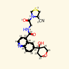 N#CC1CSCN1C(=O)CNC(=O)c1ccnc2ccc(C3(O)CCOCC3)cc12